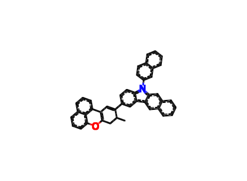 CC1CC2=C(C=C1c1ccc3c(c1)c1cc4ccccc4cc1n3-c1ccc3ccccc3c1)c1cccc3cccc(c13)O2